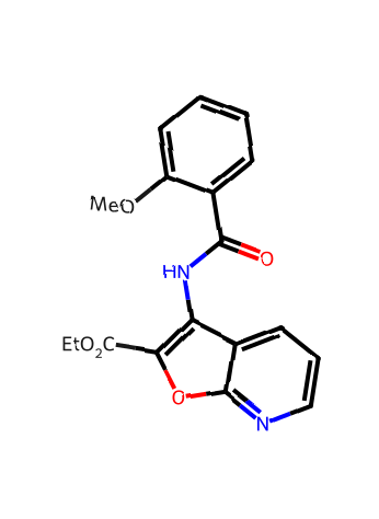 CCOC(=O)c1oc2ncccc2c1NC(=O)c1ccccc1OC